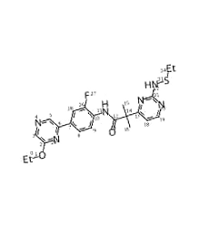 CCOc1cncc(-c2ccc(NC(=O)C(C)(C)c3ccnc(NSCC)n3)c(F)c2)n1